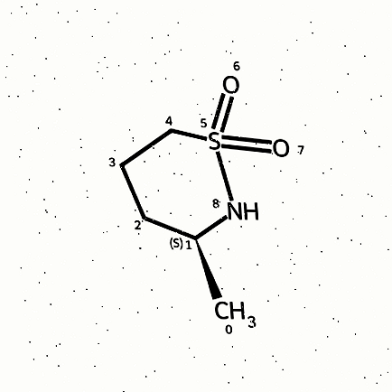 C[C@H]1CCCS(=O)(=O)N1